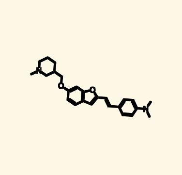 CN1CCCC(COc2ccc3cc(/C=C/c4ccc(N(C)C)cc4)oc3c2)C1